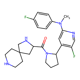 CN(c1ccc(F)cc1)c1cc(C2CCCN2C(=O)C2CC3(CCNCC3)CN2)c(F)cn1